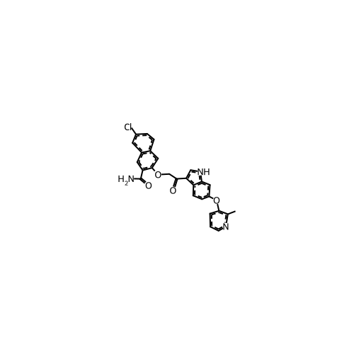 Cc1ncccc1Oc1ccc2c(C(=O)COc3cc4ccc(Cl)cc4cc3C(N)=O)c[nH]c2c1